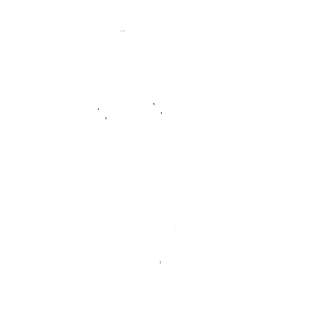 COC(=O)c1cc(-c2ncc(F)cn2)cs1